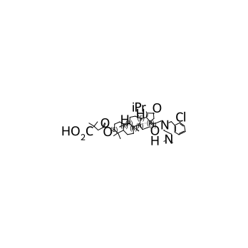 CC(C)C1=C2[C@H]3CC[C@@H]4[C@@]5(C)CC[C@H](OC(=O)CC(C)(C)C(=O)O)C(C)(C)C5CC[C@@]4(C)[C@]3(C)CC[C@@]2([C@H](O)CN(CCN(C)C)Cc2ccccc2Cl)CC1=O